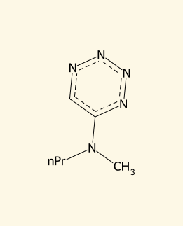 CCCN(C)c1cnnnn1